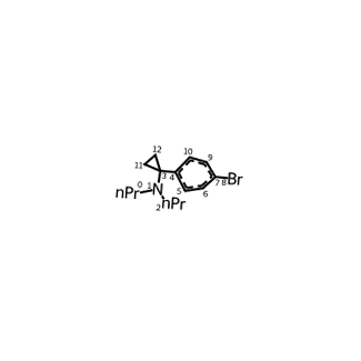 CCCN(CCC)C1(c2ccc(Br)cc2)CC1